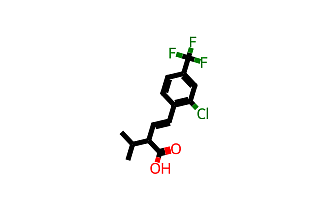 CC(C)C(/C=C/c1ccc(C(F)(F)F)cc1Cl)C(=O)O